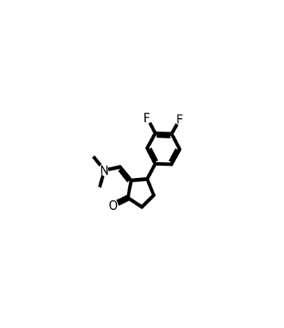 CN(C)C=C1C(=O)CCC1c1ccc(F)c(F)c1